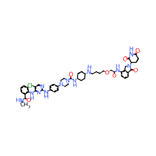 CNC(=O)c1ccccc1Nc1nc(Nc2ccc(N3CCN(C(=O)N[C@H]4CC[C@@H](NCCCCOCC(=O)Nc5cccc6c5CN(C5CCC(=O)NC5=O)C6=O)CC4)CC3)cc2)ncc1Cl